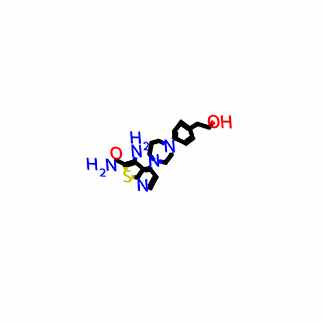 NC(=O)c1sc2nccc(N3CCCN(c4ccc(CCO)cc4)CC3)c2c1N